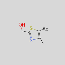 CC(=O)c1sc(CO)nc1C